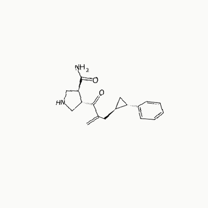 C=C(C[C@H]1C[C@@H]1c1ccccc1)C(=O)[C@@H]1CNC[C@H]1C(N)=O